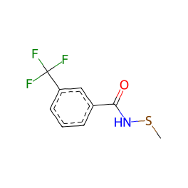 CSNC(=O)c1cccc(C(F)(F)F)c1